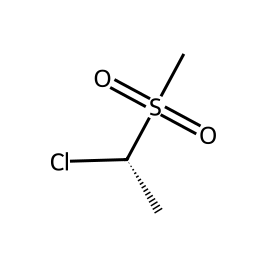 C[C@H](Cl)S(C)(=O)=O